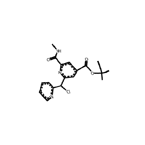 CNC(=O)c1cc(C(=O)OC(C)(C)C)cc(C(Cl)c2ccccn2)n1